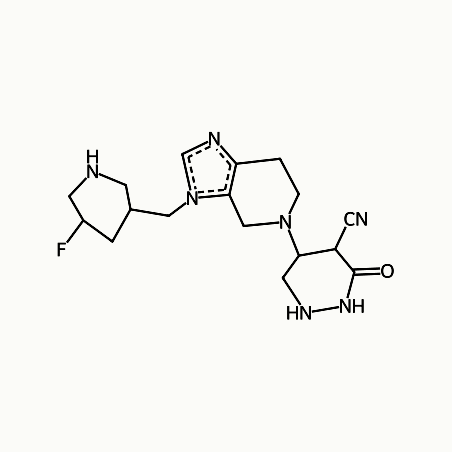 N#CC1C(=O)NNCC1N1CCc2ncn(CC3CNCC(F)C3)c2C1